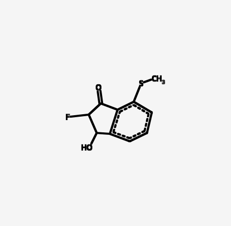 CSc1cccc2c1C(=O)C(F)C2O